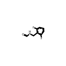 O=[C]NCc1c(F)cccc1F